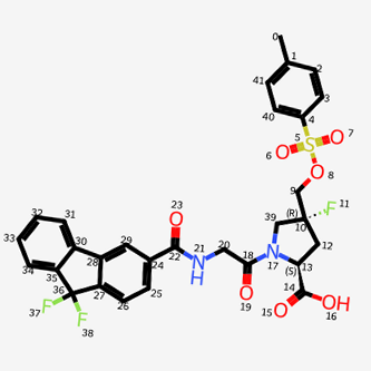 Cc1ccc(S(=O)(=O)OC[C@@]2(F)C[C@@H](C(=O)O)N(C(=O)CNC(=O)c3ccc4c(c3)-c3ccccc3C4(F)F)C2)cc1